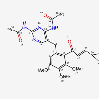 COc1cc(Cc2cnc(NC(=O)C(C)C)nc2NC(=O)C(C)C)c(C(=O)C=CC2CC2)c(OC)c1OC